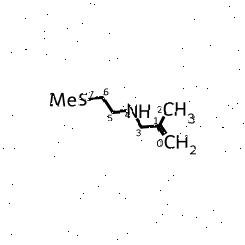 C=C(C)CNCCSC